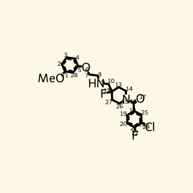 COc1cccc(OCCNCC2(F)CCN(C(=O)c3ccc(F)c(Cl)c3)CC2)c1